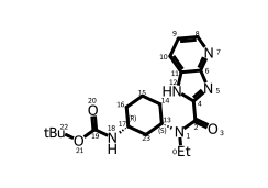 CCN(C(=O)c1nc2ncccc2[nH]1)[C@H]1CCC[C@@H](NC(=O)OC(C)(C)C)C1